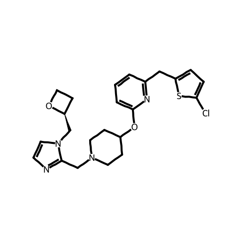 Clc1ccc(Cc2cccc(OC3CCN(Cc4nccn4C[C@@H]4CCO4)CC3)n2)s1